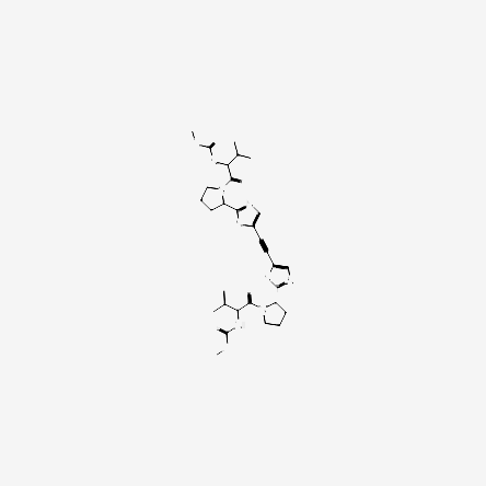 COC(=O)NC(C(=O)N1CCCC1c1ncc(C#Cc2cnc([C@@H]3CCCN3C(=O)C(NC(=O)OC)C(C)C)[nH]2)[nH]1)C(C)C